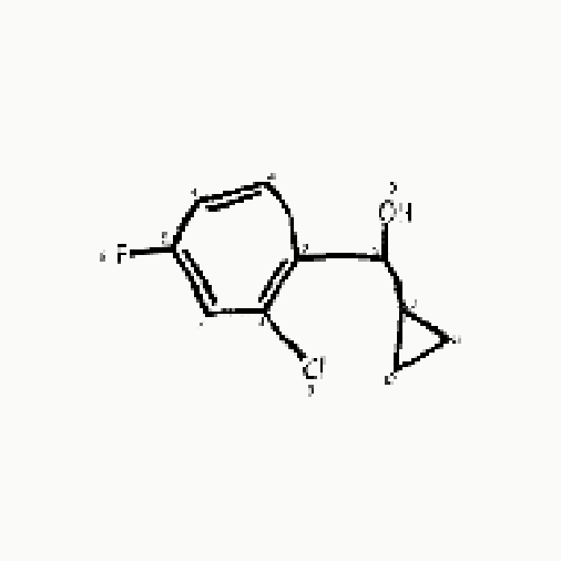 OC(c1ccc(F)cc1Cl)C1CC1